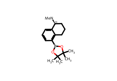 CN[C@H]1CCCc2c(B3OC(C)(C)C(C)(C)O3)cccc21